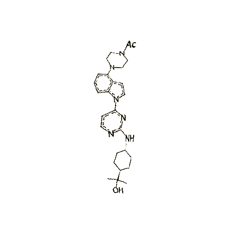 CC(=O)N1CCN(c2cccc3c2ccn3-c2ccnc(N[C@H]3CC[C@H](C(C)(C)O)CC3)n2)CC1